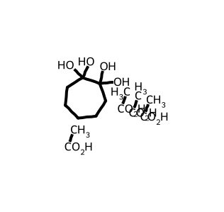 CC(=O)O.CC(=O)O.CC(=O)O.CC(=O)O.OC1(O)CCCCCC1(O)O